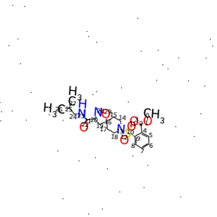 COC(=O)c1ccccc1S(=O)(=O)N1CCC2(CC1)CC(C(=O)NCC(C)C)=NO2